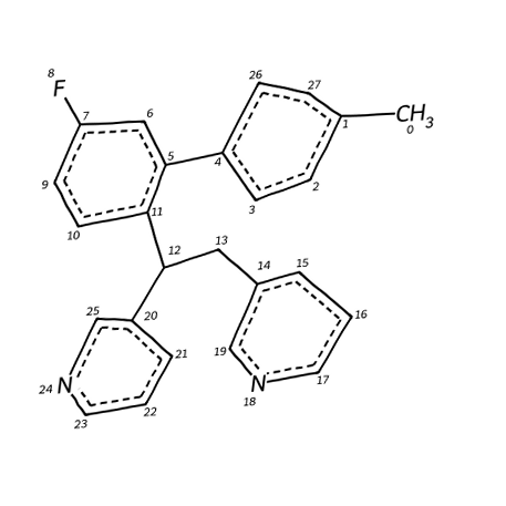 Cc1ccc(-c2cc(F)ccc2C(Cc2cccnc2)c2cccnc2)cc1